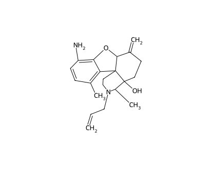 C=CCN1CCC23c4c(C)ccc(N)c4OC2C(=C)CCC3(O)C1C